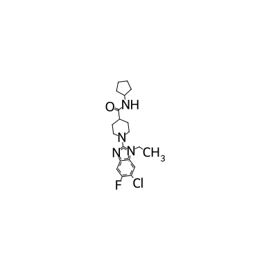 CCn1c(N2CCC(C(=O)NC3CCCC3)CC2)nc2cc(F)c(Cl)cc21